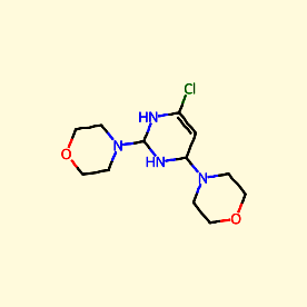 ClC1=CC(N2CCOCC2)NC(N2CCOCC2)N1